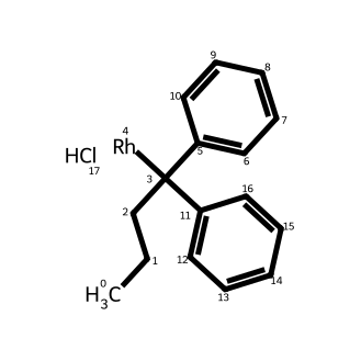 CCC[C]([Rh])(c1ccccc1)c1ccccc1.Cl